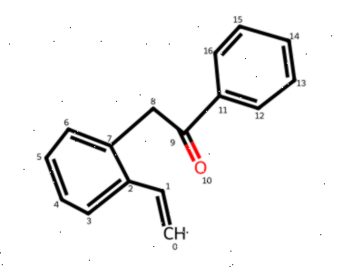 [CH]=Cc1ccccc1CC(=O)c1ccccc1